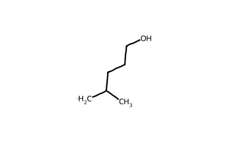 [CH2]C(C)CCCO